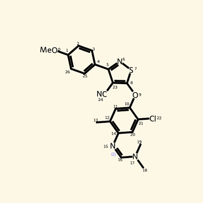 COc1ccc(-c2nsc(Oc3cc(C)c(/N=C\N(C)C)cc3Cl)c2C#N)cc1